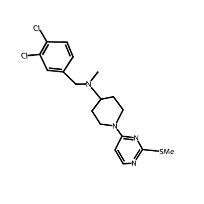 CSc1nccc(N2CCC(N(C)Cc3ccc(Cl)c(Cl)c3)CC2)n1